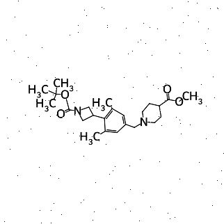 COC(=O)C1CCN(Cc2cc(C)c(C3CN(C(=O)OC(C)(C)C)C3)c(C)c2)CC1